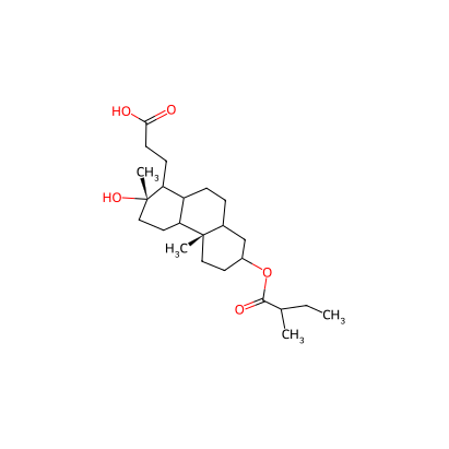 CCC(C)C(=O)OC1CC[C@@]2(C)C(CCC3C2CC[C@](C)(O)C3CCC(=O)O)C1